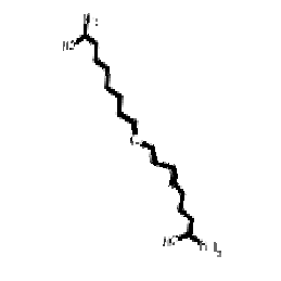 NC(O)CCCCCCCOCCCCCCCC(N)O